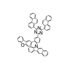 c1ccc2cc3c(cc2c1)c1ccccc1n3-c1ccc(-c2nc(-c3cccc4c3ccc3ccccc34)nc(-c3cccc4c3ccc3ccccc34)n2)cc1-c1ccc2oc3ccccc3c2c1